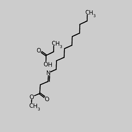 CCC(=O)O.CCCCCCCCCCN=CCC(=O)OC